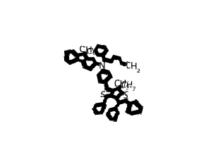 C=C/C=C\C=C(/c1ccccc1)N(c1ccc(-c2sc(-c3ccccc3)c3c2C(C)(C)c2sc(-c4ccccc4)c(-c4ccccc4)c2-3)cc1)c1ccc2c(c1)C(C)(C)c1ccccc1-2